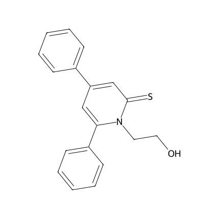 OCCn1c(-c2ccccc2)cc(-c2ccccc2)cc1=S